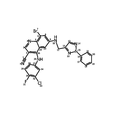 N#Cc1cnc2c(Br)cc(NCc3cnn(-c4ccccc4)n3)cc2c1Nc1ccc(F)c(Cl)c1